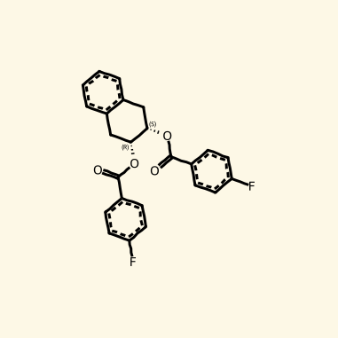 O=C(O[C@H]1Cc2ccccc2C[C@H]1OC(=O)c1ccc(F)cc1)c1ccc(F)cc1